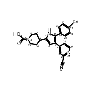 N#Cc1cc(-c2cc(C3CCN(C(=O)O)CC3)[nH]c2-c2ccc(F)cc2)ccn1